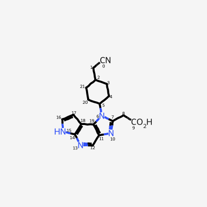 N#CCC1CCC(n2c(CC(=O)O)nc3cnc4[nH]ccc4c32)CC1